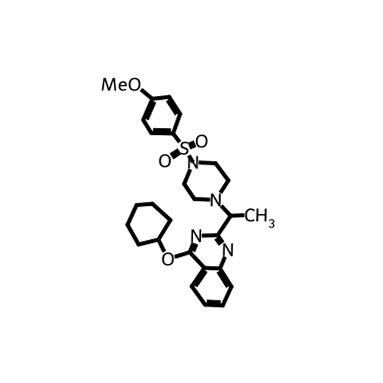 COc1ccc(S(=O)(=O)N2CCN(C(C)c3nc(OC4CCCCC4)c4ccccc4n3)CC2)cc1